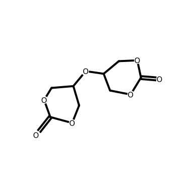 O=C1OCC(OC2COC(=O)OC2)CO1